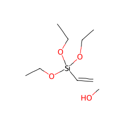 C=C[Si](OCC)(OCC)OCC.CO